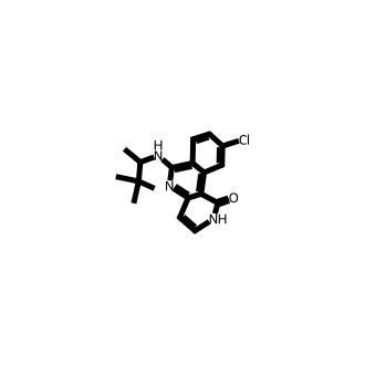 CC(Nc1nc2cc[nH]c(=O)c2c2cc(Cl)ccc12)C(C)(C)C